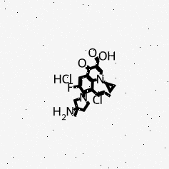 CC=C(Cl)c1c(N2CCC(C)(N)C2)c(F)cc2c(=O)c(C(=O)O)cn(C3CC3)c12.Cl